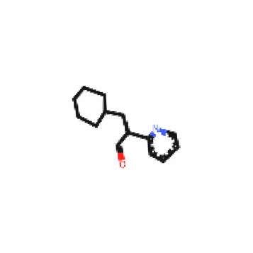 O=CC(CC1CCCCC1)c1ccccn1